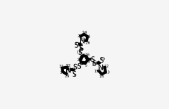 S=C(SSc1cc(SSC(=S)N2CCCC2)cc(SSC(=S)N2CCCC2)c1)N1CCCC1